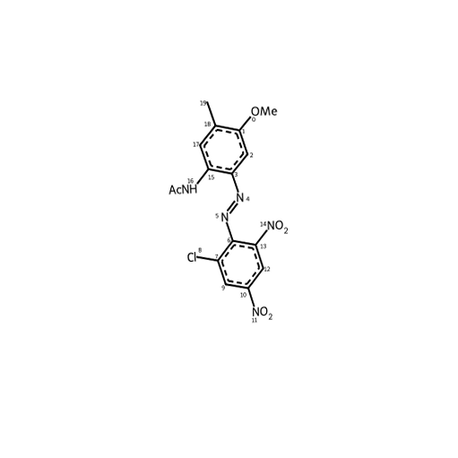 COc1cc(N=Nc2c(Cl)cc([N+](=O)[O-])cc2[N+](=O)[O-])c(NC(C)=O)cc1C